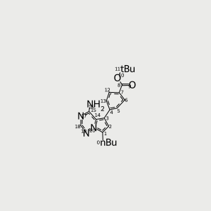 [CH2]CCCc1cc(-c2ccc(C(=O)OC(C)(C)C)cc2)c2c(N)ncnn12